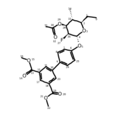 CC[C@H]1O[C@H](Oc2ccc(-c3cc(C(=O)OC)cc(C(=O)OC)c3)cc2)[C@@H](F)[C@@H](OC(C)=O)[C@@H]1C